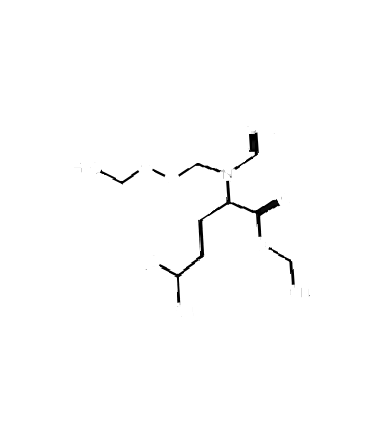 C=CN(COOCC)C(CCC(C)C)C(=O)OCC